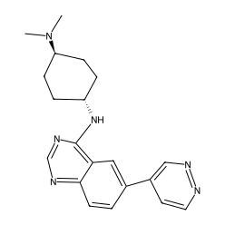 CN(C)[C@H]1CC[C@H](Nc2ncnc3ccc(-c4ccnnc4)cc23)CC1